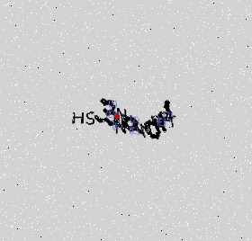 C=C\C=C/C(/C=N/C/C=C\C(=C/C(CC)/N=C(\C)CCCCS)CN1CCCC(CCC)(/C(C)=C(C)/C=C\C=C)CC1)=C\C